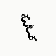 CC=CC[S+]([O-])CC=CC